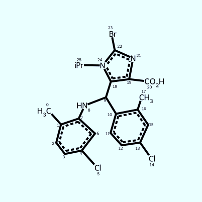 Cc1ccc(Cl)cc1NC(c1ccc(Cl)cc1C)c1c(C(=O)O)nc(Br)n1C(C)C